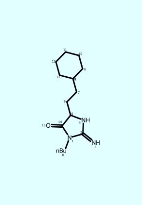 CCCCN1C(=N)NC(CCC2CCCCC2)C1=O